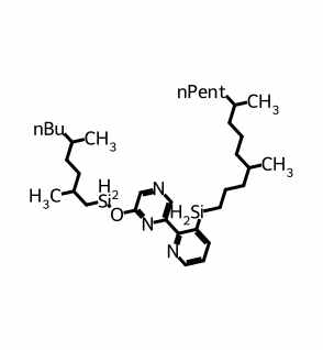 CCCCCC(C)CCCC(C)CCC[SiH2]c1cccnc1-c1cncc(O[SiH2]CC(C)CCC(C)CCCC)n1